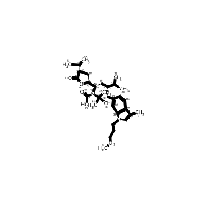 COCCCn1cc(C)c2ccc(C[C@H](C[C@@H]([C@@H]3C[C@@H](C(C)C)C(=O)O3)N(C(=O)O)C(C)(C)C)C(C)C)cc21